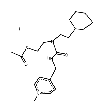 CC(=O)SCCN(CCC1CCCCC1)C(=O)NCc1cc[n+](C)cc1.[I-]